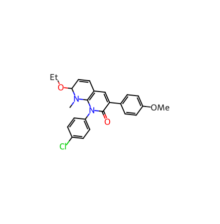 CCOC1C=Cc2cc(-c3ccc(OC)cc3)c(=O)n(-c3ccc(Cl)cc3)c2N1C